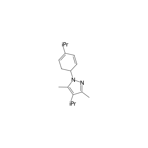 Cc1nn(C2C=CC(C(C)C)=CC2)c(C)c1C(C)C